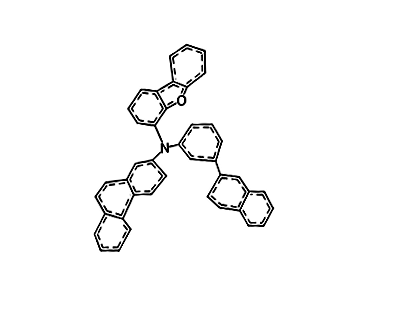 c1cc(-c2ccc3ccccc3c2)cc(N(c2ccc3c(ccc4ccccc43)c2)c2cccc3c2oc2ccccc23)c1